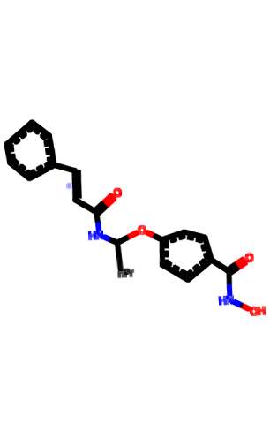 CCCC(NC(=O)/C=C/c1ccccc1)Oc1ccc(C(=O)NO)cc1